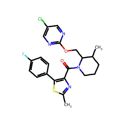 Cc1nc(C(=O)N2CCCC(C)C2COc2ncc(Cl)cn2)c(-c2ccc(F)cc2)s1